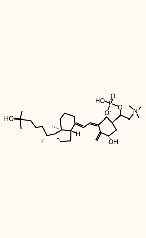 C=C1/C(=C\C=C2/CCC[C@]3(C)[C@@H]([C@H](C)CCCC(C)(C)O)CC[C@@H]23)C[C@@H](C(C[N+](C)(C)C)OP(=O)([O-])O)C[C@@H]1O